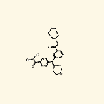 CCN(CC)C(=O)c1ccc(C(=C2CCNCC2)c2cccc(C(=O)CC3CCCCC3)c2)cc1